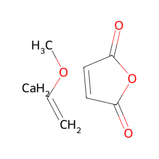 C=COC.O=C1C=CC(=O)O1.[CaH2]